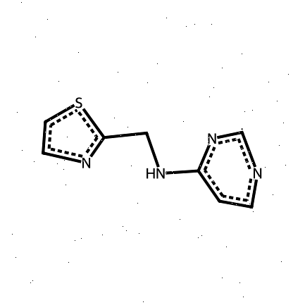 [c]1nccc(NCc2nccs2)n1